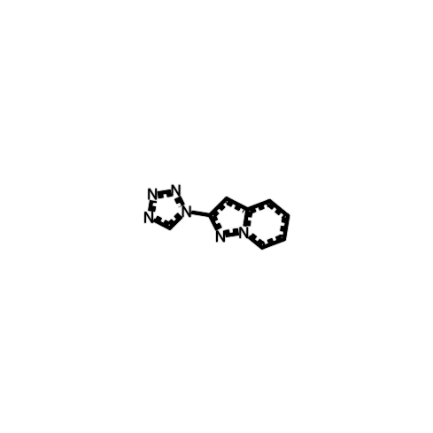 c1ccn2nc(-n3cnnn3)cc2c1